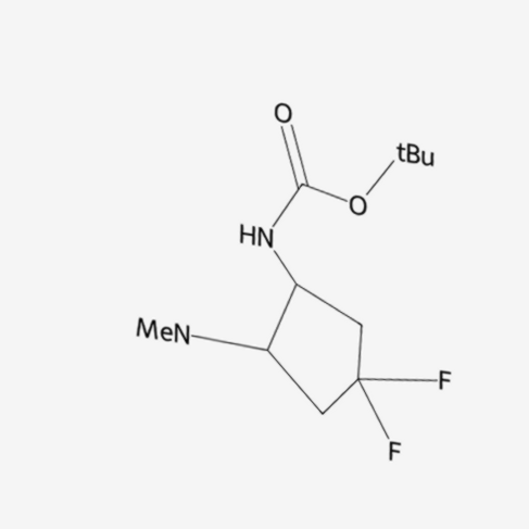 CNC1CC(F)(F)CC1NC(=O)OC(C)(C)C